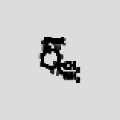 CCCC(C)N1CCCC(C)(CN)CC1